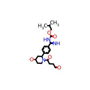 CC(C)COC(=O)NC(=N)c1ccc(C2CC([O])CCN2C(=O)CCC=O)cc1